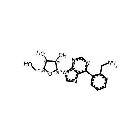 NCc1ccccc1-c1ncnc2c1ncn2[C@@H]1O[C@H](CO)[C@@H](O)[C@H]1O